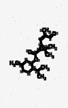 CC(C=O)=CC1C(C(=O)OC2CC(C)CCC2C(C)C)C1(C)C